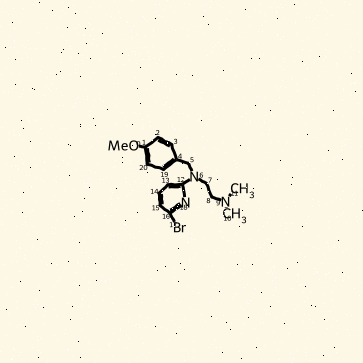 COc1ccc(CN(CCN(C)C)c2cccc(Br)n2)cc1